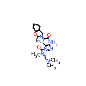 CCC(=O)N(Cc1ccccc1)[C@@H](Cc1cncn1C(=O)N(C)CCN(C)C)C(N)=O